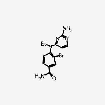 CCN(c1ccnc(N)n1)c1ccc(C(N)=O)cc1Br